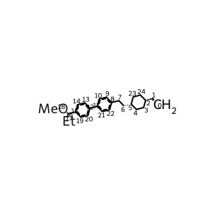 C=C[C@H]1CC[C@H](CCc2ccc(-c3ccc(C(CC)OC)cc3)cc2)CC1